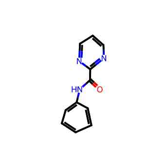 O=C(Nc1ccccc1)c1ncccn1